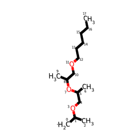 [CH2]C(C)OCC(C)OC(C)COCCCCCC